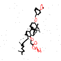 COc1ccc(CO[C@H]2CC[C@]3(C)C4=C(CC[C@H]3C2(C)C)C(=O)[C@@](C)([C@H](CCC(=O)O)[C@H](C)CCCC(C)C)CC4)cc1